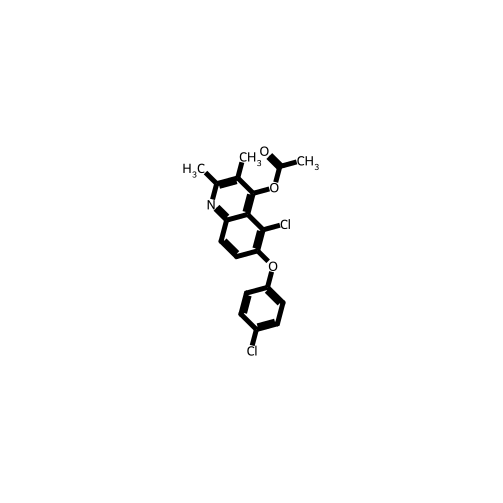 CC(=O)Oc1c(C)c(C)nc2ccc(Oc3ccc(Cl)cc3)c(Cl)c12